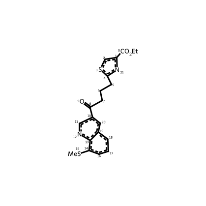 CCOC(=O)c1csc(CCCC(=O)c2cnc3c(SC)cccc3c2)n1